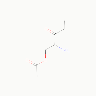 CCC(=O)C(N)COC(C)=O.Cl